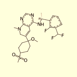 COC1(C2=Cc3c(N[C@H](C)c4cccc(C(F)F)c4F)ncnc3N(C)C2)CCC(S(C)(=O)=O)CC1